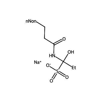 CCCCCCCCCCCC(=O)NC(O)(CC)S(=O)(=O)[O-].[Na+]